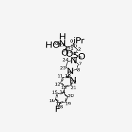 CC(C)[C@@H](CS(=O)(=O)N1CCN(c2ccc(-c3ccc(F)cc3)cn2)CC1)C(=O)NO